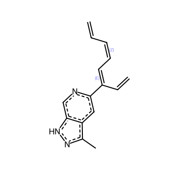 C=C/C=C\C=C(/C=C)c1cc2c(C)n[nH]c2cn1